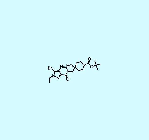 CCn1nc2c(=O)n(CC3(O)CCN(C(=O)OC(C)(C)C)CC3)cnc2c1Br